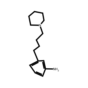 Nc1cccc(CCCCN2CCCCC2)c1